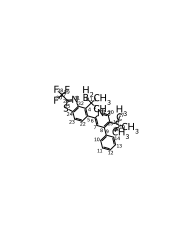 BC(C)(C)c1c(-c2cc(-c3ccccc3)c(S(C)(C)C)cn2)ccc2sc(C(F)(F)F)nc12